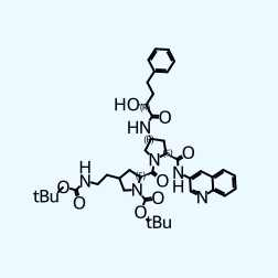 CC(C)(C)OC(=O)NCCC1C[C@@H](C(=O)N2C[C@H](NC(=O)[C@H](O)CCc3ccccc3)C[C@H]2C(=O)Nc2cnc3ccccc3c2)N(C(=O)OC(C)(C)C)C1